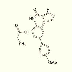 CCC(=O)O.COc1ccc(-c2ccc3[nH]c(=O)c4[nH]ccc4c3c2)cc1